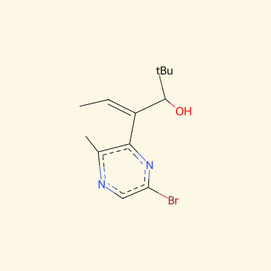 C/C=C(\c1nc(Br)cnc1C)C(O)C(C)(C)C